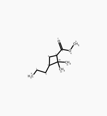 CCCC1CC(C(=O)OC)C1(C)C